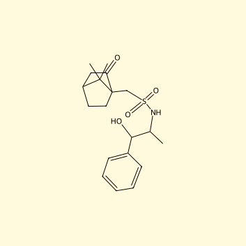 CC(NS(=O)(=O)CC12CCC(CC1=O)C2(C)C)C(O)c1ccccc1